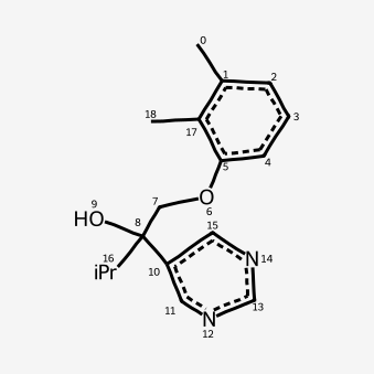 Cc1cccc(OCC(O)(c2cncnc2)C(C)C)c1C